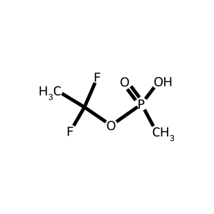 CC(F)(F)OP(C)(=O)O